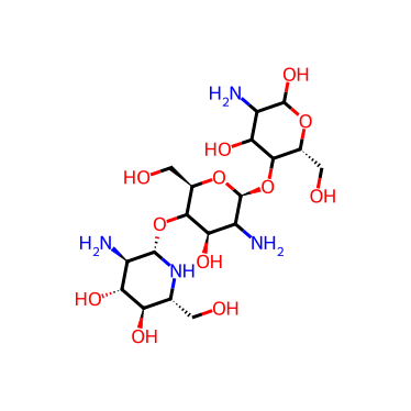 NC1C(O)O[C@H](CO)C(O[C@@H]2O[C@H](CO)C(O[C@@H]3N[C@H](CO)[C@@H](O)[C@H](O)[C@H]3N)[C@H](O)C2N)C1O